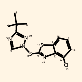 CC(C)(C)c1ncn(Sc2nc3c(Cl)cccc3s2)n1